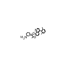 Cc1cccc(C)c1-c1ccnc2cc(OC(C)C(=O)N3CCCC(N)C3)ccc12